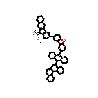 CC1(C)c2ccc(-c3ccc4oc5ccc(-c6c7ccccc7c(-c7cc8ccc9ccccc9c8c8ccccc78)c7ccccc67)cc5c4c3)cc2-c2cc3ccccc3cc21